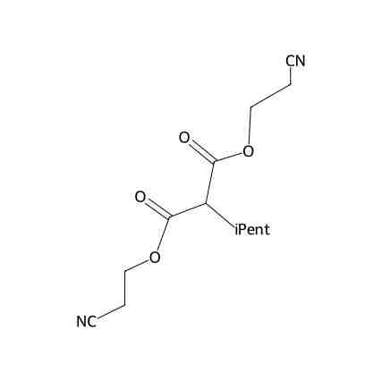 CCCC(C)C(C(=O)OCCC#N)C(=O)OCCC#N